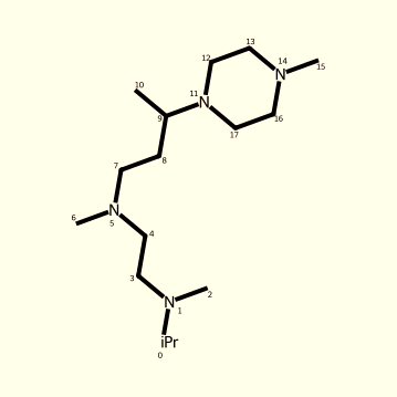 CC(C)N(C)CCN(C)CCC(C)N1CCN(C)CC1